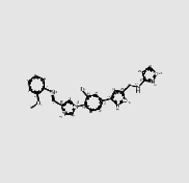 COc1ccccc1N=Cc1cn(-c2ccc(-c3cc(CNc4ccon4)on3)cc2F)cn1